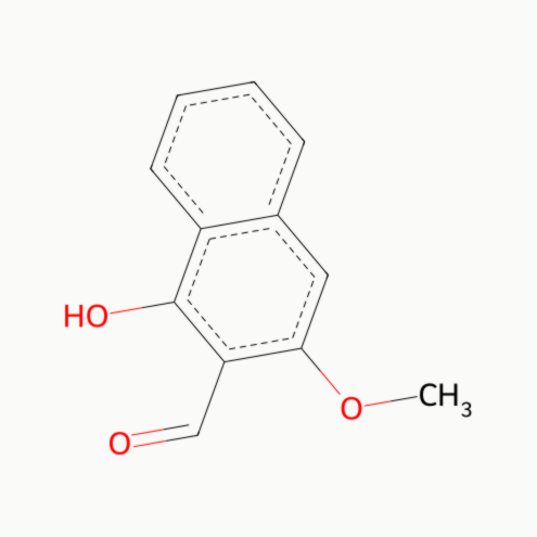 COc1cc2ccccc2c(O)c1C=O